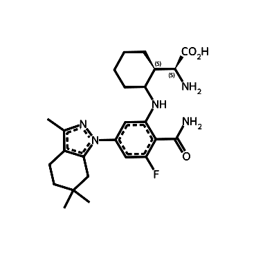 Cc1nn(-c2cc(F)c(C(N)=O)c(NC3CCCC[C@H]3[C@H](N)C(=O)O)c2)c2c1CCC(C)(C)C2